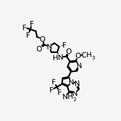 COc1ncc(-c2cc(C(F)(F)F)c3c(N)ncnn23)cc1C(=O)N[C@@H]1CN(C(=O)OCCC(F)(F)F)C[C@@H]1F